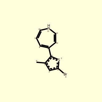 Cc1cc(Br)sc1C1=CC=CNC=C1